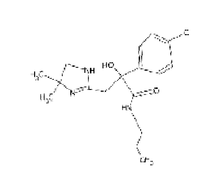 CCCNC(=O)C(O)(CC1=NC(C)(C)CN1)c1ccc(Cl)cc1